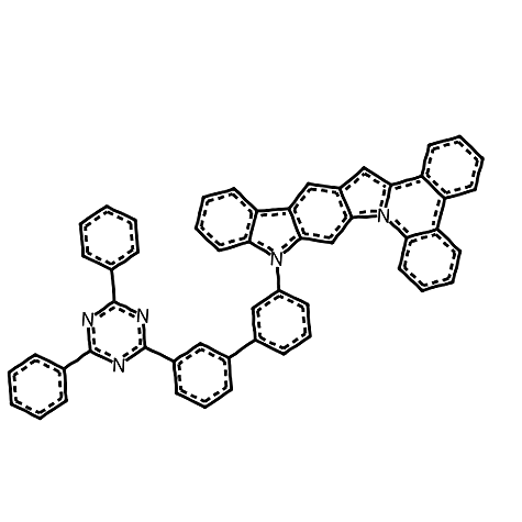 c1ccc(-c2nc(-c3ccccc3)nc(-c3cccc(-c4cccc(-n5c6ccccc6c6cc7cc8c9ccccc9c9ccccc9n8c7cc65)c4)c3)n2)cc1